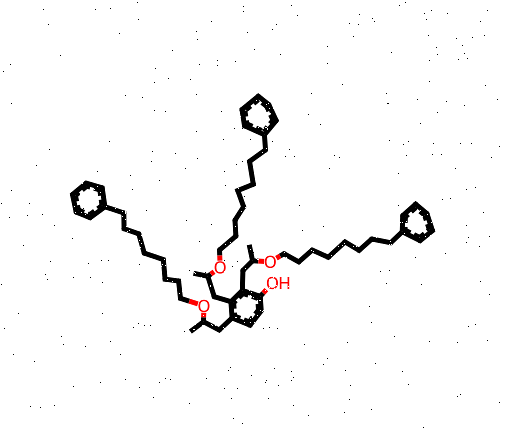 CC(Cc1ccc(O)c(CC(C)OCCCCCCCCc2ccccc2)c1CC(C)OCCCCCCCCc1ccccc1)OCCCCCCCCc1ccccc1